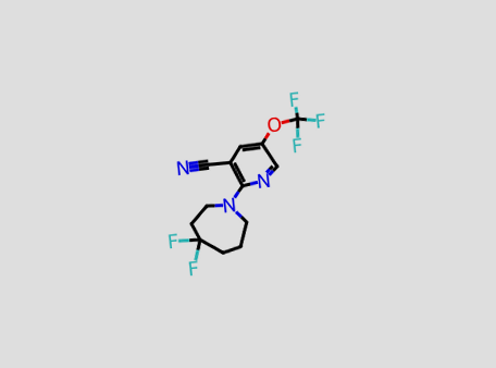 N#Cc1cc(OC(F)(F)F)cnc1N1CCCC(F)(F)CC1